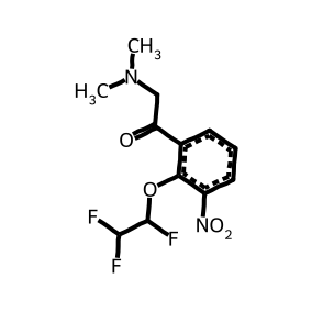 CN(C)CC(=O)c1cccc([N+](=O)[O-])c1OC(F)C(F)F